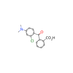 CN(C)c1ccc(C(=O)c2ccccc2C(=O)O)c(Cl)c1